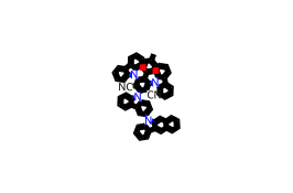 Cc1ccc(-c2c(-n3c4ccccc4c4ccccc43)c(C#N)c(-n3c4ccccc4c4cc(-n5c6ccccc6c6cc7ccccc7cc65)ccc43)c(C#N)c2-n2c3ccccc3c3ccccc32)cc1